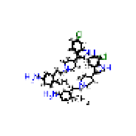 Cc1ccc(N)cc1CCN1CCC(c2c[nH]c3c(Cl)cccc23)CC1.Cc1ccc(N)cc1CCN1CCC(c2c[nH]c3cc(Cl)ccc23)CC1